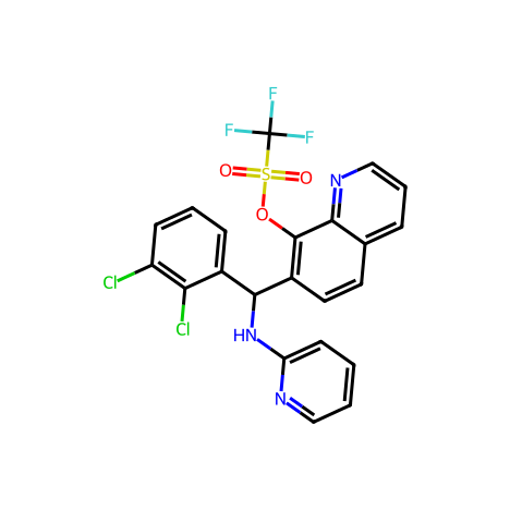 O=S(=O)(Oc1c(C(Nc2ccccn2)c2cccc(Cl)c2Cl)ccc2cccnc12)C(F)(F)F